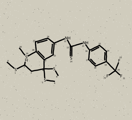 CSC1CC(SC)(SC)c2cc(NC(=S)Nc3ccc(C(F)(F)F)cc3)ccc2[SH]1C